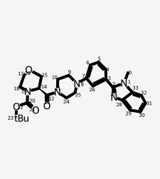 Cn1c(-c2cccc(N3CCN(C(=O)[C@@H]4COCCN4C(=O)OC(C)(C)C)CC3)c2)nc2ccccc21